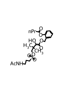 CCCC(=O)Oc1ccccc1COC(=O)[C@H](O)C(C)(C)COS(=O)(=O)CCCNC(C)=O